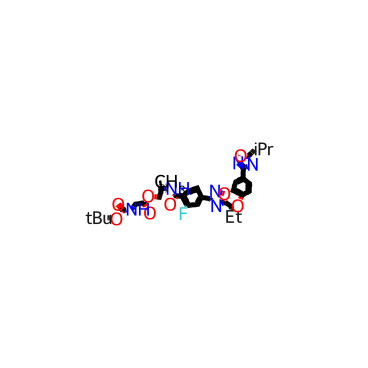 CCC(Oc1ccc(-c2noc(C(C)C)n2)cc1)c1nc(-c2ccc(C(=O)N[C@H](C)COC(=O)CNC(=O)OC(C)(C)C)c(F)c2)no1